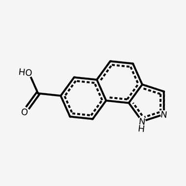 O=C(O)c1ccc2c(ccc3cn[nH]c32)c1